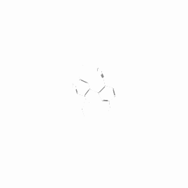 CCOc1cnc(OC)cc1-c1cc(Cl)ccc1C#N